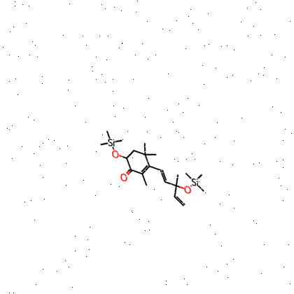 C=CC(C)(C=CC1=C(C)C(=O)C(O[Si](C)(C)C)CC1(C)C)O[Si](C)(C)C